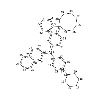 c1ccc(C2(c3ccc(N(c4ccc(C5CCCCC5)cc4)c4ccc5ccccc5c4)cc3)CCCCCCC2)cc1